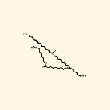 CCCCCCCCCCCCCCCCCC(=O)OCCCCCCCCCCCCCCCC.CCCCCCCCCCCCCCCCCCCCCCOC(=O)CCCCCCCCCCCCCCCCCCCCC